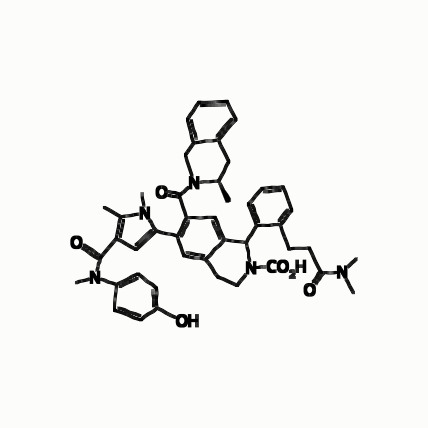 Cc1c(C(=O)N(C)c2ccc(O)cc2)cc(-c2cc3c(cc2C(=O)N2Cc4ccccc4C[C@H]2C)C(c2ccccc2CCC(=O)N(C)C)N(C(=O)O)CC3)n1C